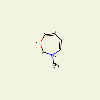 CN1C=CC=COC1